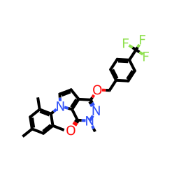 Cc1cc(C)c(-n2ccc3c(OCc4ccc(C(F)(F)F)cc4)nn(C)c(=O)c32)c(C)c1